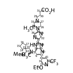 CCOc1cc(-c2cc(N(C)CC3(COC)CCCC3)c3[nH]c(-c4cnc(N5CCN(CCCC(=O)O)C[C@H]5C)cn4)nc3n2)cc(C(F)(F)F)n1